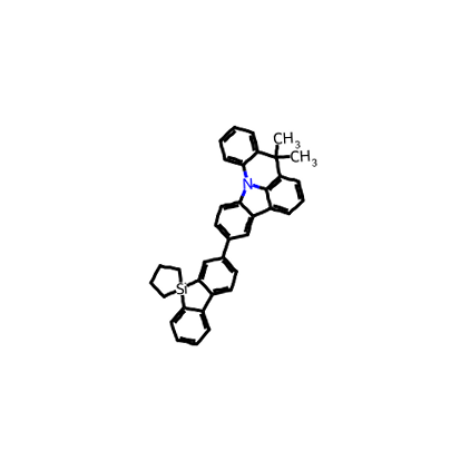 CC1(C)c2ccccc2-n2c3ccc(-c4ccc5c(c4)[Si]4(CCCC4)c4ccccc4-5)cc3c3cccc1c32